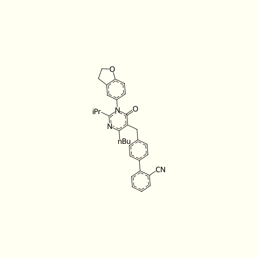 CCCCc1nc(C(C)C)n(-c2ccc3c(c2)CCO3)c(=O)c1Cc1ccc(-c2ccccc2C#N)cc1